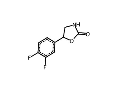 O=C1NCC(c2ccc(F)c(F)c2)O1